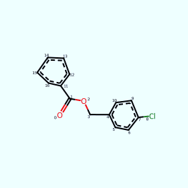 O=C(OCc1ccc(Cl)cc1)c1cc[c]cc1